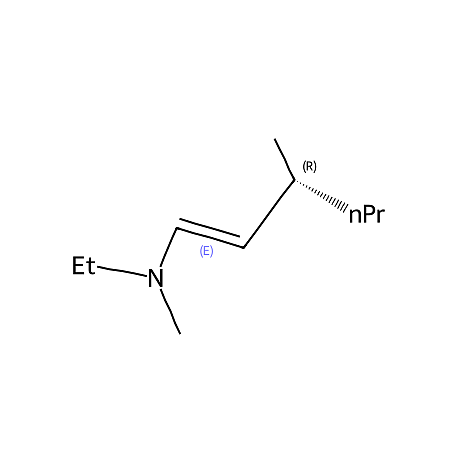 CCC[C@@H](C)/C=C/N(C)CC